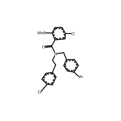 CNc1ccc(Cl)cc1C(=O)N(CCc1ccc(Cl)cc1)Cc1ccc(C(C)C)cc1